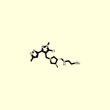 Cc1cc(-c2nn(C)c(Cl)c2CN2C[C@H](CNCCC(C)(C)C)[C@@H](C)C2)no1